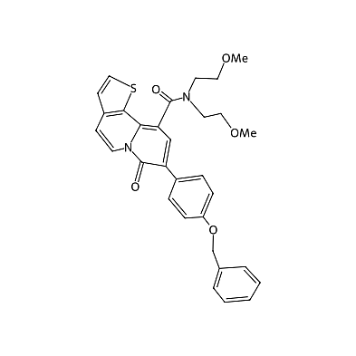 COCCN(CCOC)C(=O)c1cc(-c2ccc(OCc3ccccc3)cc2)c(=O)n2ccc3ccsc3c12